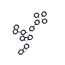 c1ccc([Si](c2ccccc2)(c2ccccc2)c2ccc(-c3ccc(N(c4ccc(-c5cccc6ccccc56)cc4)c4cccc5c4c4ccccc4n5-c4ccc5oc6ccccc6c5c4)cc3)cc2)cc1